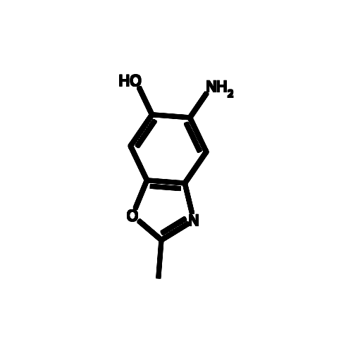 Cc1nc2cc(N)c(O)cc2o1